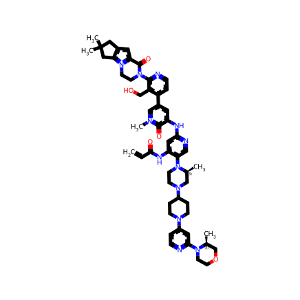 C=CC(=O)Nc1cc(Nc2cc(-c3ccnc(N4CCn5c(cc6c5CC(C)(C)C6)C4=O)c3CO)cn(C)c2=O)ncc1N1CCN(C2CCN(c3ccnc(N4CCOC[C@@H]4C)c3)CC2)C[C@@H]1C